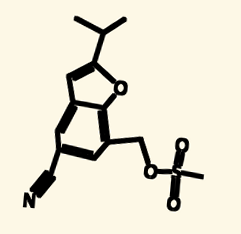 CC(C)c1cc2cc(C#N)cc(COS(C)(=O)=O)c2o1